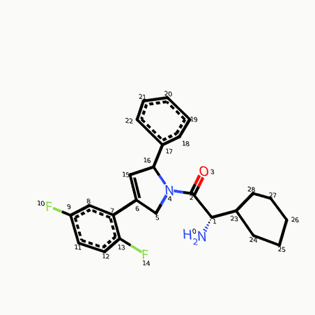 N[C@H](C(=O)N1CC(c2cc(F)ccc2F)=CC1c1ccccc1)C1CCCCC1